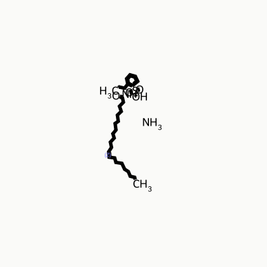 CCCCCCCC/C=C\CCCCCCCCCCCC(=O)NC(CC)c1ccccc1S(=O)(=O)O.N